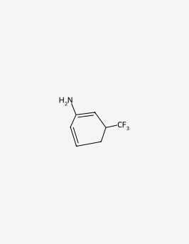 NC1=CC(C(F)(F)F)CC=C1